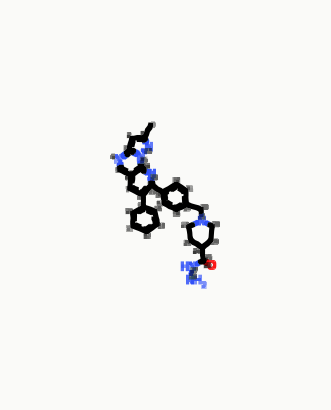 Cc1cc2ncc3cc(-c4ccccc4)c(-c4ccc(CN5CCC(C(=O)NN)CC5)cc4)nc3n2n1